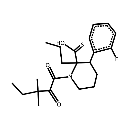 CCCC1(C(O)=S)C(c2ccccc2F)CCCN1C(=O)C(=O)C(C)(C)CC